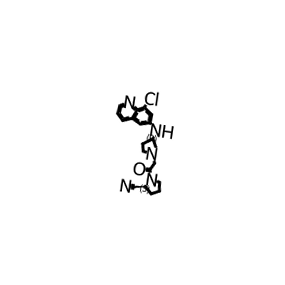 N#C[C@@H]1CCCN1C(=O)CN1CC[C@@H](Nc2cc(Cl)c3ncccc3c2)C1